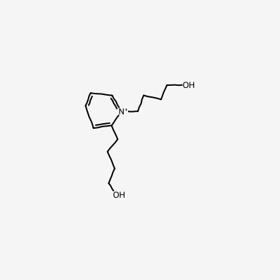 OCCCCc1cccc[n+]1CCCCO